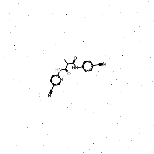 CC(C(=O)Nc1ccc(C#N)cc1)C(=O)Nc1ccc(C#N)cn1